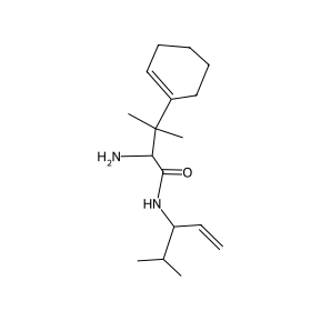 C=CC(NC(=O)C(N)C(C)(C)C1=CCCCC1)C(C)C